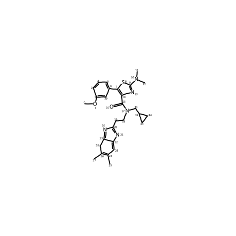 COc1cccc(-c2sc(N(C)C)nc2C(=O)N(CCC2=NC3=CC(C)=C(C)CC3=N2)CC2CC2)c1